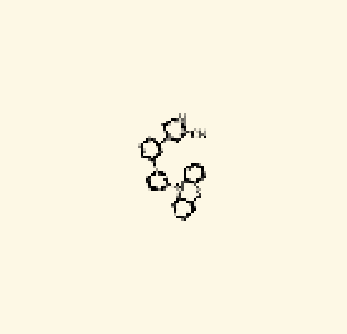 N#Cc1cc(-c2cccc(-c3cccc(N4c5ccccc5Sc5ccccc54)c3)c2)ccn1